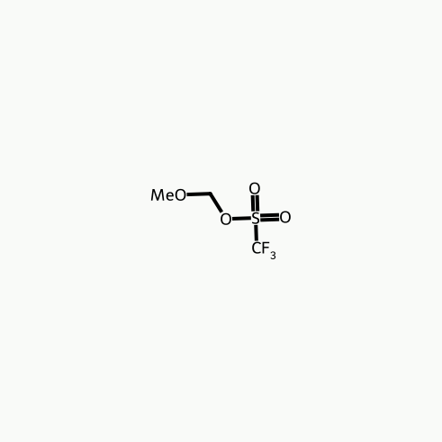 COCOS(=O)(=O)C(F)(F)F